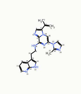 C=C(C)c1cnc2c(NCCc3c[nH]c4ncccc34)nc(-n3ccnc3C)cn12